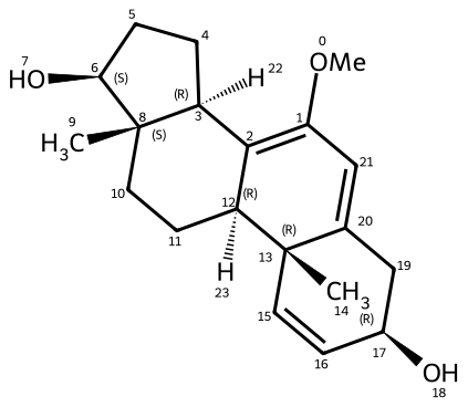 COC1=C2[C@@H]3CC[C@H](O)[C@@]3(C)CC[C@@H]2[C@@]2(C)C=C[C@H](O)CC2=C1